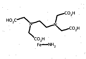 O=C(O)CN(CCN(CC(=O)O)CC(=O)O)CC(=O)O.[NH2][Fe]